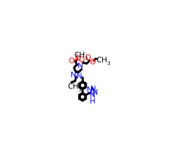 CCCc1nc2c(n1Cc1ccc(-c3ccccc3-c3nnn[nH]3)cc1)CN(C(=O)CC(=O)OCC)C(C(=O)OC)C2